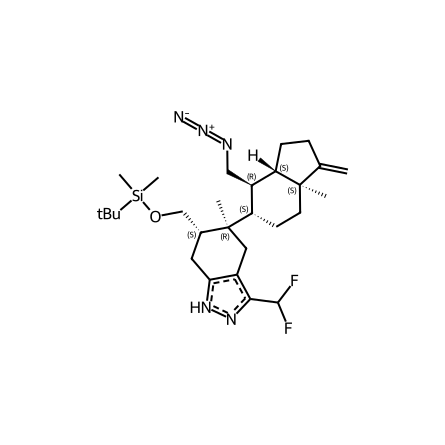 C=C1CC[C@H]2[C@H](CN=[N+]=[N-])[C@@H]([C@@]3(C)Cc4c(C(F)F)n[nH]c4C[C@@H]3CO[Si](C)(C)C(C)(C)C)CC[C@]12C